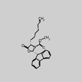 C=CCCCCC[C@H]1C(=O)O[C@@H](C2c3ccccc3-c3ccccc32)N1C(=O)OC